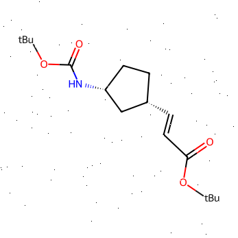 CC(C)(C)OC(=O)C=C[C@H]1CC[C@@H](NC(=O)OC(C)(C)C)C1